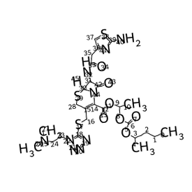 CCCC(C)OC(=O)OC(C)OC(=O)C1=C(CSc2nnnn2CCN(C)C)CS[C@@H]2[C@H](NC(=O)Cc3csc(N)n3)C(=O)N12